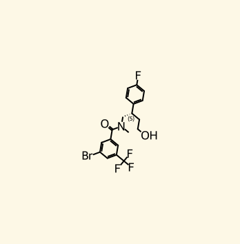 CN(C[C@@H](CCO)c1ccc(F)cc1)C(=O)c1cc(Br)cc(C(F)(F)F)c1